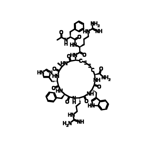 CC(=O)N[C@@H](Cc1ccccc1)C(=O)N[C@@H](CCCNC(=N)N)C(=O)N[C@H]1CSSC[C@@H](C(N)=O)NC(=O)[C@H](Cc2c[nH]c3ccccc23)NC(=O)[C@H](CCCNC(=N)N)NC(=O)[C@@H](Cc2ccccc2)NC(=O)[C@H](Cc2c[nH]cn2)NC(=O)[C@@H](C)NC1=O